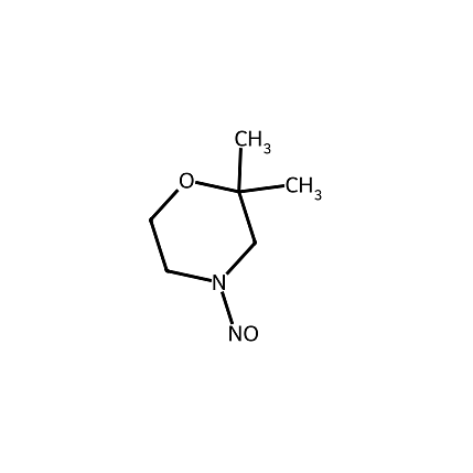 CC1(C)CN(N=O)CCO1